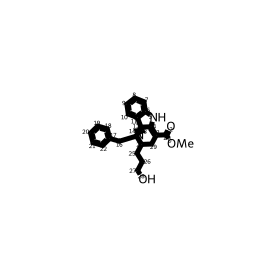 COC(=O)C1=C2Nc3ccccc3C23CCN(Cc2ccccc2)C3C(CCCO)C1